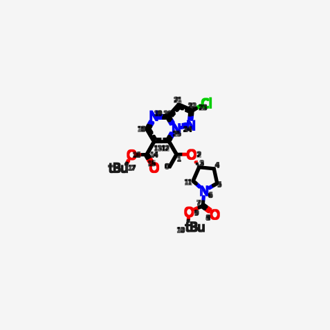 CC(O[C@@H]1CCN(C(=O)OC(C)(C)C)C1)c1c(C(=O)OC(C)(C)C)cnc2cc(Cl)nn12